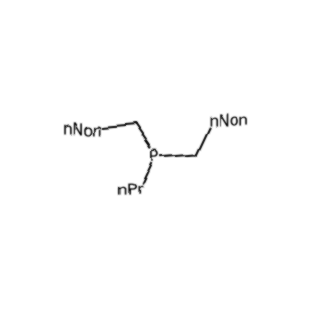 CCCCCCCCCCP(CCC)CCCCCCCCCC